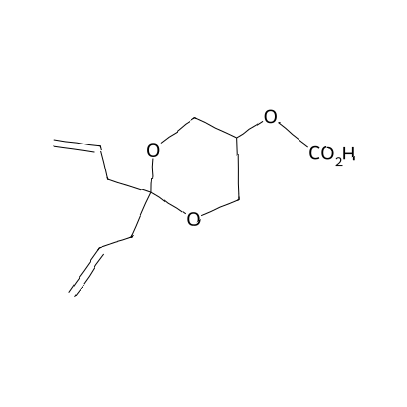 C=CCC1(CC=C)OCC(OC(=O)O)CO1